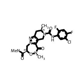 CNC(=O)[C@H]1Cn2nc3c(c2C(=O)N(C)O1)CN(C(=O)Nc1cc(Cl)c(F)cc1F)[C@H](C)C3